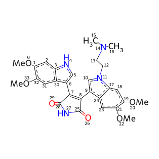 COc1cc2[nH]cc(C3=C(c4cn(CCN(C)C)c5cc(OC)c(OC)cc45)C(=O)NC3=O)c2cc1OC